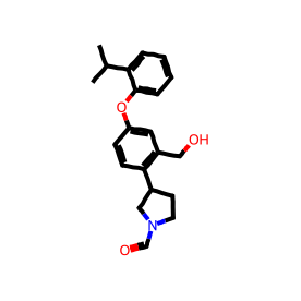 CC(C)c1ccccc1Oc1ccc(C2CCN(C=O)C2)c(CO)c1